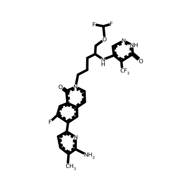 Cc1ccc(-c2cc3ccn(CCCC(COC(F)F)Nc4cn[nH]c(=O)c4C(F)(F)F)c(=O)c3cc2F)nc1N